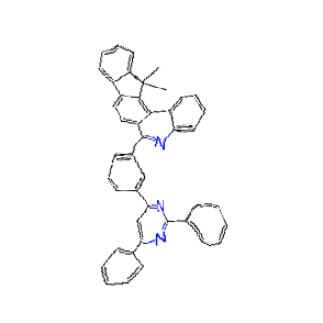 CC1(C)c2ccccc2-c2ccc3c(-c4cccc(-c5cc(-c6ccccc6)nc(-c6ccccc6)n5)c4)nc4ccccc4c3c21